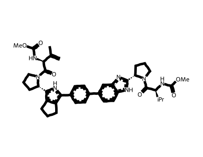 C=C(C)[C@H](NC(=O)OC)C(=O)N1CCC[C@H]1c1[nH]c(-c2ccc(-c3ccc4[nH]c([C@@H]5CCCN5C(=O)[C@@H](NC(=O)OC)C(C)C)nc4c3)cc2)c2c1CCC2